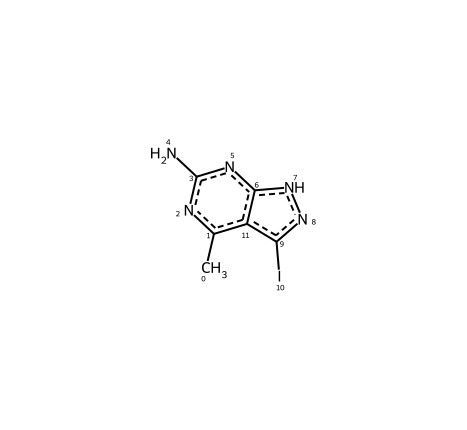 Cc1nc(N)nc2[nH]nc(I)c12